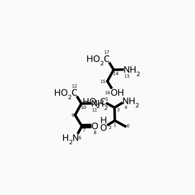 CC(O)C(N)C(=O)O.NC(=O)CC(N)C(=O)O.NC(CO)C(=O)O